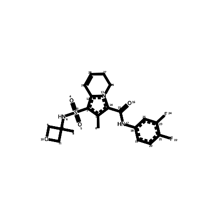 Cc1c(S(=O)(=O)NC2(C)COC2)c2n(c1C(=O)Nc1ccc(F)c(F)c1)CCC=C2